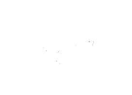 CCC(Cc1ccccc1)NC(=O)[C@H](C(C)C)N(CC(C)C)S(=O)(=O)c1ccc2ncsc2c1